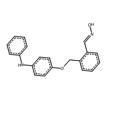 ON=Cc1ccccc1COc1ccc(Nc2ccccc2)cc1